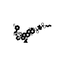 CCCCOC(=O)[C@@H]1C[C@H](C(=O)O[C@H]2CC[C@]3(C)[C@H]4CC[C@@H]5[C@H]6[C@H](C7(C)CC7)CC[C@]6(C(=O)N6CCC[C@H]6c6ncc(-c7cccc(F)c7)[nH]6)CC[C@@]5(C)[C@]4(C)CC[C@H]3C2(C)C)C1(C)C